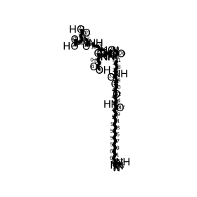 C[C@@H](CC(=O)O)C(=O)N[C@@H](CCCCNC(=O)CN(CC(=O)O)CC(=O)O)C(=O)N[C@@H](CCCCNC(=O)COCCOCCNC(=O)CCCCCCCCCCCCCCCc1nnn[nH]1)C(N)=O